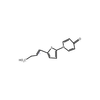 O=C(O)C/C=C/c1ccc(-n2ccc(=O)cc2)s1